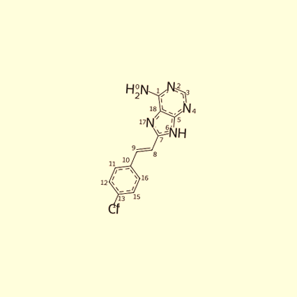 Nc1ncnc2[nH]c(C=Cc3ccc(Cl)cc3)nc12